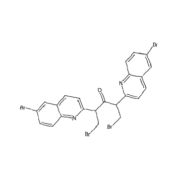 O=C(C(CBr)c1ccc2cc(Br)ccc2n1)C(CBr)c1ccc2cc(Br)ccc2n1